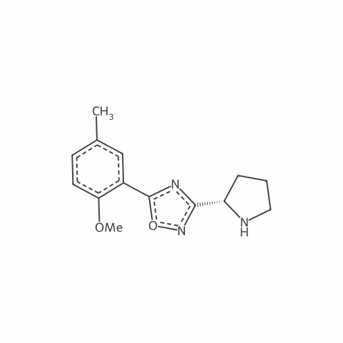 COc1ccc(C)cc1-c1nc([C@@H]2CCCN2)no1